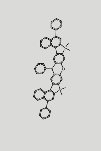 CS1(C)c2cc3c(cc2-c2c1cc(-c1ccccc1)c1ccccc21)N(c1ccccc1)c1cc2c(cc1O3)S(C)(C)c1cc(-c3ccccc3)c3ccccc3c1-2